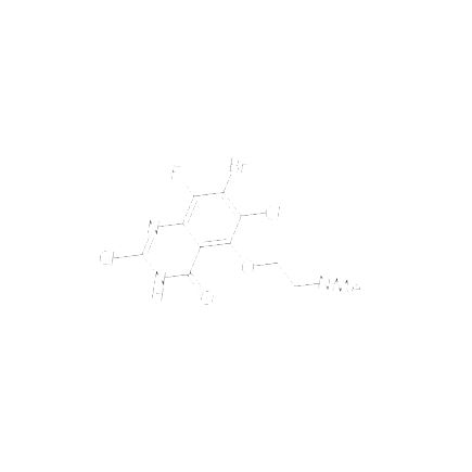 CNCCOc1c(Cl)c(Br)c(F)c2nc(Cl)[nH]c(=O)c12